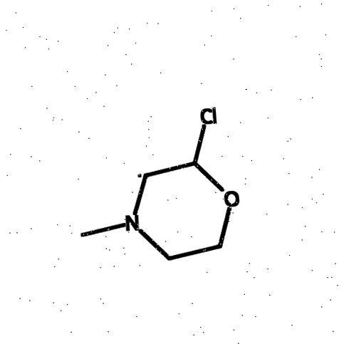 CN1[CH]C(Cl)OCC1